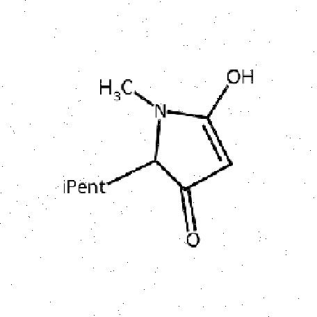 CCCC(C)C1C(=O)C=C(O)N1C